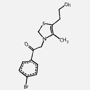 CC1=C(CCO)SCN1CC(=O)c1ccc(Br)cc1